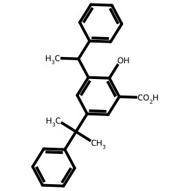 CC(c1ccccc1)c1cc(C(C)(C)c2ccccc2)cc(C(=O)O)c1O